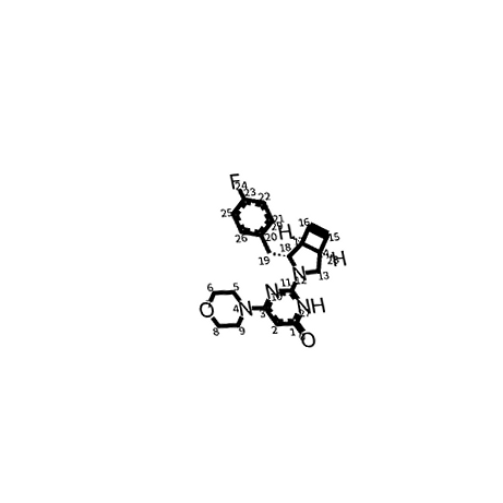 O=c1cc(N2CCOCC2)nc(N2C[C@@H]3C#C[C@@H]3[C@H]2Cc2ccc(F)cc2)[nH]1